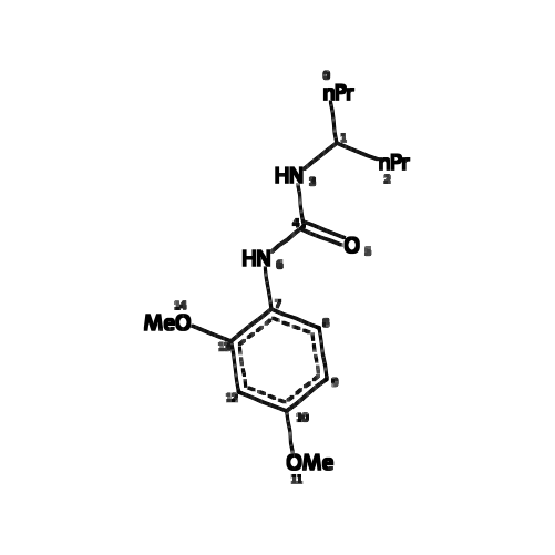 CCCC(CCC)NC(=O)Nc1ccc(OC)cc1OC